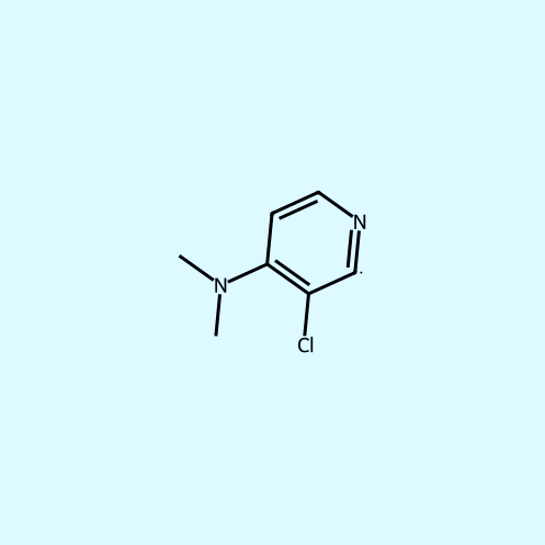 CN(C)c1ccn[c]c1Cl